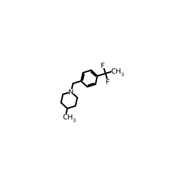 CC1CCN(Cc2ccc(C(C)(F)F)cc2)CC1